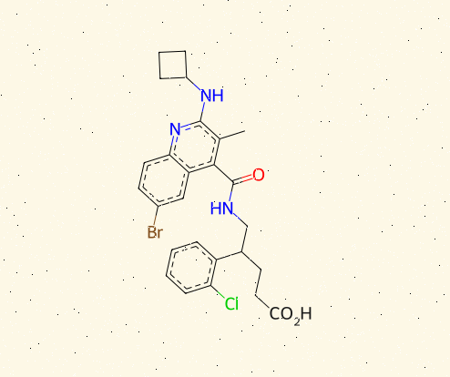 Cc1c(NC2CCC2)nc2ccc(Br)cc2c1C(=O)NCC(CCC(=O)O)c1ccccc1Cl